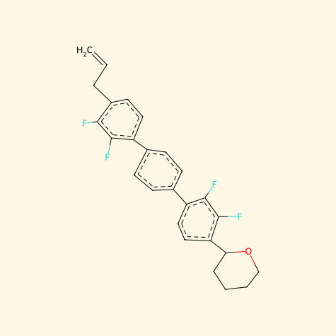 C=CCc1ccc(-c2ccc(-c3ccc(C4CCCCO4)c(F)c3F)cc2)c(F)c1F